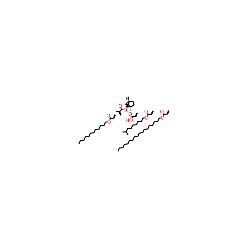 C=C(C)C(=O)OC1C[C@H]2CC[C@@]1(C)C2(C)C.C=CC(=O)O.C=CC(=O)OCCCCCCCC(C)C.C=CC(=O)OCCCCCCCCCCCC.C=CC(=O)OCCCCCCCCCCCCCCCCCC